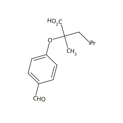 CC(C)CC(C)(Oc1ccc(C=O)cc1)C(=O)O